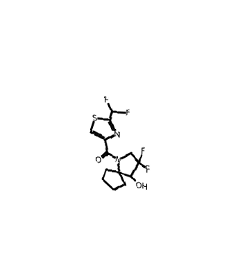 O=C(c1csc(C(F)F)n1)N1CC(F)(F)C(O)C12CCCC2